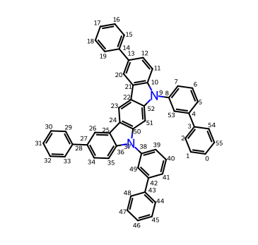 c1ccc(-c2cccc(-n3c4ccc(-c5ccccc5)cc4c4cc5c6cc(-c7ccccc7)ccc6n(-c6cccc(-c7ccccc7)c6)c5cc43)c2)cc1